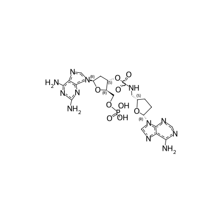 Nc1nc(N)c2ncn([C@H]3C[C@H](OS(=O)(=O)NC[C@@H]4CC[C@H](n5cnc6c(N)ncnc65)O4)[C@@H](COP(=O)(O)O)O3)c2n1